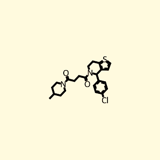 CC1CCN(C(=O)CCC(=O)N2CCc3sccc3C2c2ccc(Cl)cc2)CC1